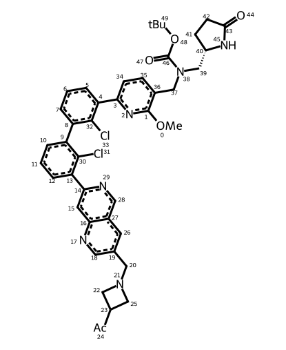 COc1nc(-c2cccc(-c3cccc(-c4cc5ncc(CN6CC(C(C)=O)C6)cc5cn4)c3Cl)c2Cl)ccc1CN(C[C@@H]1CCC(=O)N1)C(=O)OC(C)(C)C